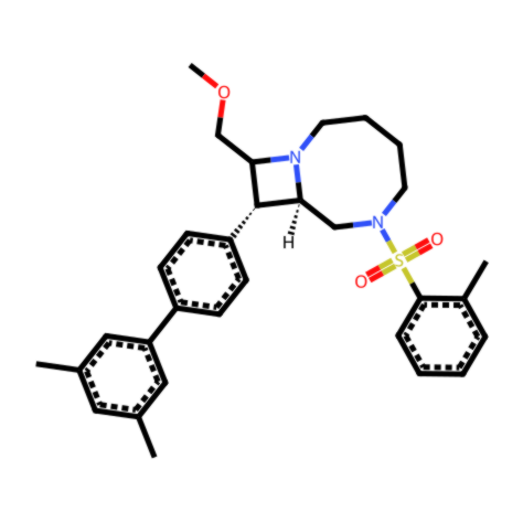 COCC1[C@@H](c2ccc(-c3cc(C)cc(C)c3)cc2)[C@@H]2CN(S(=O)(=O)c3ccccc3C)CCCCN12